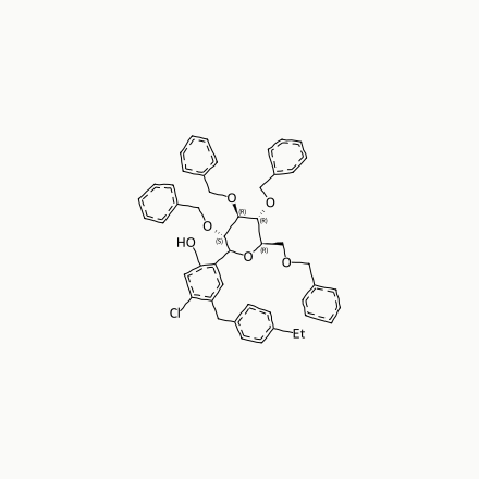 CCc1ccc(Cc2cc(C3O[C@H](COCc4ccccc4)[C@@H](OCc4ccccc4)[C@H](OCc4ccccc4)[C@H]3OCc3ccccc3)c(O)cc2Cl)cc1